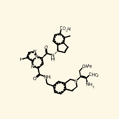 COC/C(=C(/N)C=O)N1CCc2ccc(CNC(=O)c3cc(C(=O)N[C@H]4CCc5c4ccc(C(=O)O)c5C)n4ncc(F)c4n3)cc2C1